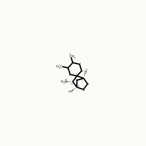 CC1CCC2(CC1C)[C@H]1CC[C@H](C1)[C@@H]2N